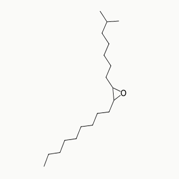 CCCCCCCCCC1OC1CCCCCC(C)C